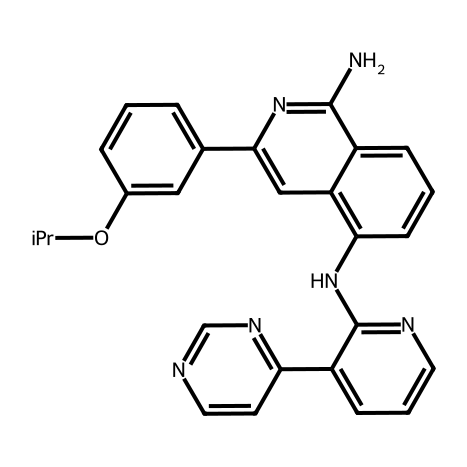 CC(C)Oc1cccc(-c2cc3c(Nc4ncccc4-c4ccncn4)cccc3c(N)n2)c1